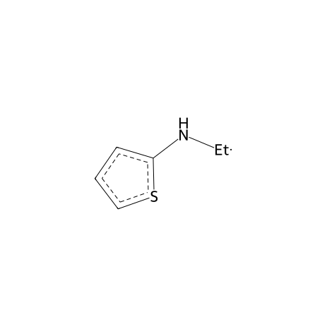 C[CH]Nc1cccs1